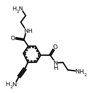 NC#Cc1cc(C(=O)NCCN)cc(C(=O)NCCN)c1